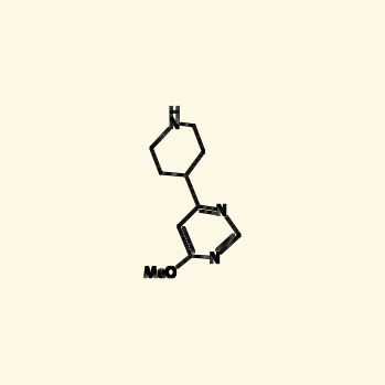 COc1cc(C2CCNCC2)ncn1